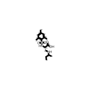 CCC(C)NC[C@H](NS(=O)(=O)c1c(C)cc(C)cc1C)C(=O)O